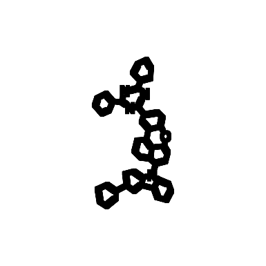 c1ccc(-c2ccc3c(c2)c2ccccc2n3-c2ccc3c4c(cccc24)-c2cc(-c4nc(-c5ccccc5)nc(-c5ccccc5)n4)ccc2O3)cc1